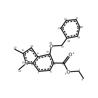 CCOC(=O)c1ccc2c(cc(C)n2C)c1OCc1ccccc1